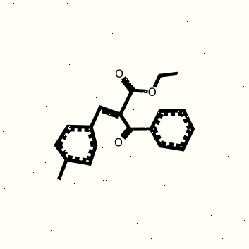 CCOC(=O)/C(=C/c1ccc(C)cc1)C(=O)c1ccccc1